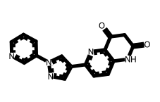 O=C1CC(=O)c2nc(-c3cnn(-c4cccnc4)c3)ccc2N1